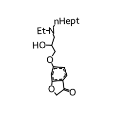 CCCCCCCN(CC)CC(O)COc1ccc2c(c1)OCC2=O